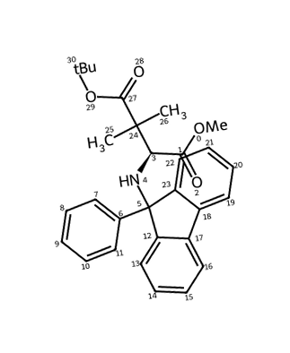 COC(=O)[C@@H](NC1(c2ccccc2)c2ccccc2-c2ccccc21)C(C)(C)C(=O)OC(C)(C)C